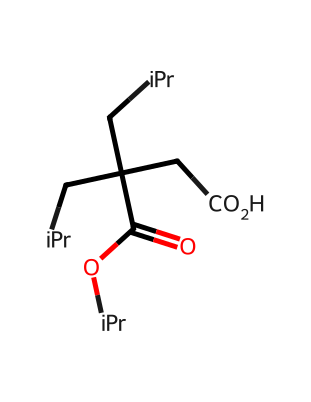 CC(C)CC(CC(=O)O)(CC(C)C)C(=O)OC(C)C